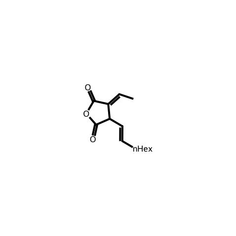 CC=C1C(=O)OC(=O)C1C=CCCCCCC